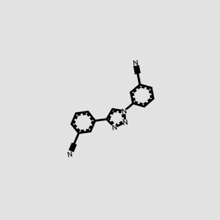 N#Cc1cccc(-c2cn(-c3cccc(C#N)c3)nn2)c1